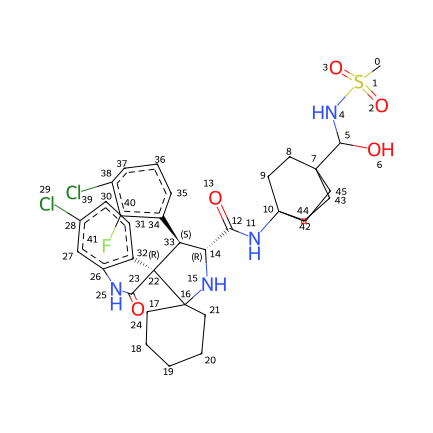 CS(=O)(=O)NC(O)C12CCC(NC(=O)[C@@H]3NC4(CCCCC4)[C@@]4(C(=O)Nc5cc(Cl)ccc54)[C@H]3c3cccc(Cl)c3F)(CC1)CC2